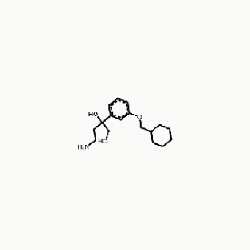 NCCC(O)(CO)c1cccc(OCC2CCCCC2)c1